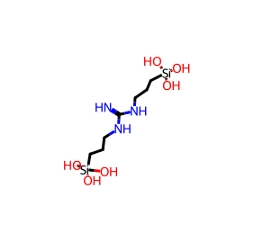 N=C(NCCC[Si](O)(O)O)NCCC[Si](O)(O)O